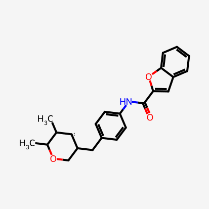 CC1[C]C(Cc2ccc(NC(=O)c3cc4ccccc4o3)cc2)COC1C